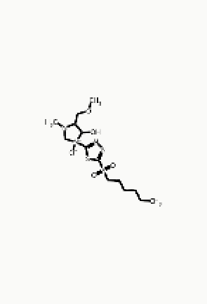 CCCCCCS(=O)(=O)c1nnc([N+]2([O-])CN(C)C(COC)C2O)s1